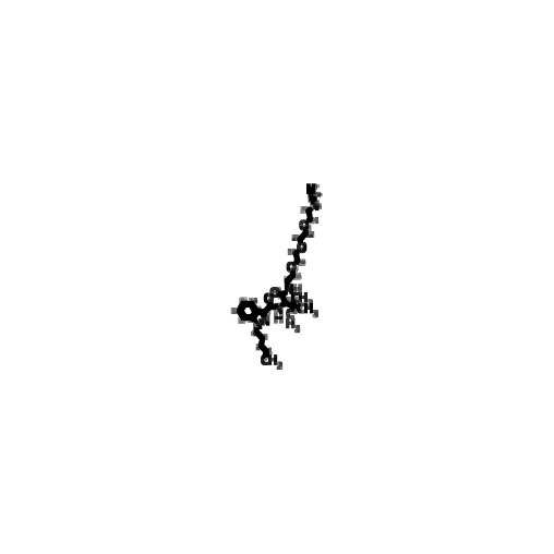 C=CCCCn1nc(C(=O)NC(C(=O)NCCOCCOCCOCCN=[N+]=[N-])C(C)(C)C)c2ccccc21